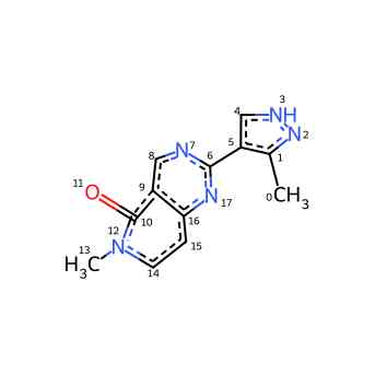 Cc1n[nH]cc1-c1ncc2c(=O)n(C)ccc2n1